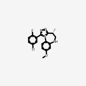 COc1ccc2c(c1)NC[C@@H](C)c1nnc(-c3cc(Cl)ccc3F)n1-2